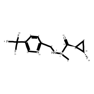 CN(NCc1ccc(C(F)(F)F)cn1)C(=O)[C@H]1C[C@@H]1F